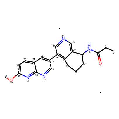 CCC(=O)NC1CCCc2c(-c3cnc4nc(OC)ccc4c3)cncc21